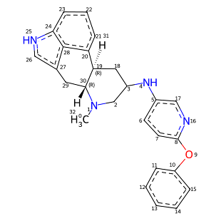 CN1CC(Nc2ccc(Oc3ccccc3)nc2)C[C@@H]2c3cccc4[nH]cc(c34)C[C@H]21